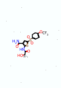 C[C@H](O)C(=O)Nc1sc(S(=O)(=O)C2=CC=C(OC(F)(F)F)CC2)cc1C(N)=O